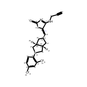 C#CCNC1=NC(=O)S/C1=C\[C@H]1C[C@@H]2CN(c3ccc(C(F)(F)F)cc3C(F)(F)F)C[C@@H]2C1